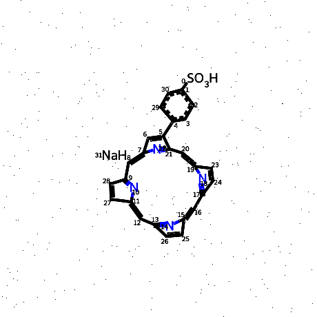 O=S(=O)(O)c1ccc(C2=CC3=CC4=NC(=CC5=NC(=CC6=NC(=CC2=N3)C=C6)C=C5)C=C4)cc1.[NaH]